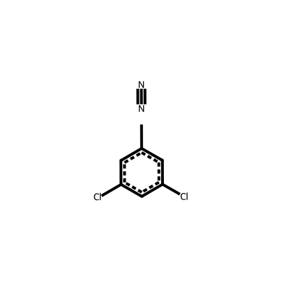 Cc1cc(Cl)cc(Cl)c1.N#N